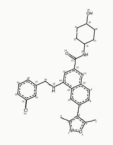 Cc1noc(C)c1-c1ccc2nc(C(=O)NC3CCC(O)CC3)cc(NCc3cccc(Cl)c3)c2c1